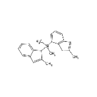 CC1=Cc2cccc([Si](C)(C)C3C(C)=Cc4ccccc43)c2C1